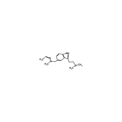 C/C=N\N(C)Cc1ccc2[nH]cc(CCN(C)C)c2c1